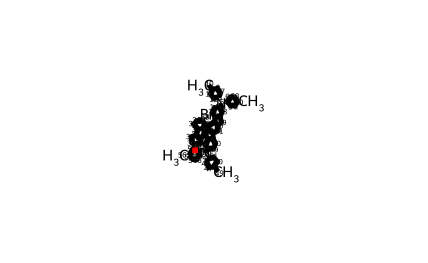 Cc1ccc(N(c2ccc(C)cc2)c2ccc3c(c2)Cc2cc4c(cc2-3)C2(c3cc(Br)ccc3-c3ccc(Br)cc32)c2cc(N(c3ccc(C)cc3)c3ccc(C)cc3)ccc2-4)cc1